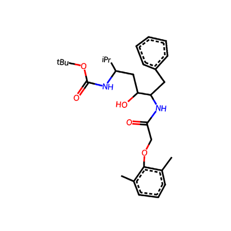 Cc1cccc(C)c1OCC(=O)NC(Cc1ccccc1)C(O)CC(NC(=O)OC(C)(C)C)C(C)C